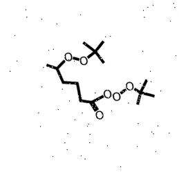 CC(CCCC(=O)OOOC(C)(C)C)OOC(C)(C)C